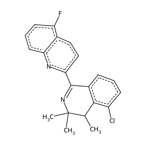 CC1c2c(Cl)cccc2C(c2ccc3c(F)cccc3n2)=NC1(C)C